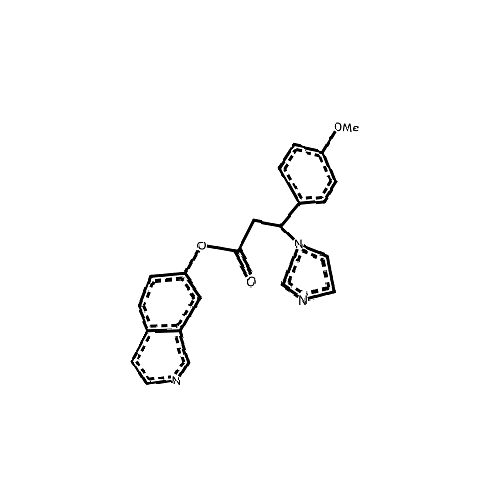 COc1ccc(C(CC(=O)Oc2ccc3ccncc3c2)n2ccnc2)cc1